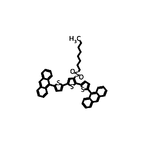 CCCCCCCCS(=O)(=O)c1cc(-c2ccc(-c3c4ccccc4cc4ccccc34)s2)sc1-c1ccc(-c2c3ccccc3cc3ccccc23)s1